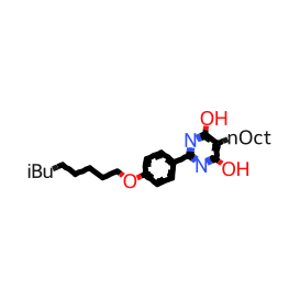 CCCCCCCCc1c(O)nc(-c2ccc(OCCCCCC(C)CC)cc2)nc1O